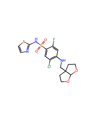 O=S(=O)(Nc1nccs1)c1cc(Cl)c(NCC23CCOC2OCC3)cc1F